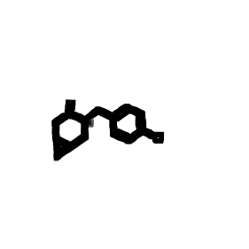 Clc1ccc(C[C@H]2CC3CC3CN2)cc1